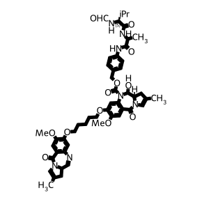 COc1cc2c(cc1OCCCCCOc1cc3c(cc1OC)C(=O)N1C=C(C)C[C@@H]1C(O)N3C(=O)OCc1ccc(NC(=O)C(C)NC(=O)[C@@H](NC=O)C(C)C)cc1)N=CC1CC(C)=CN1C2=O